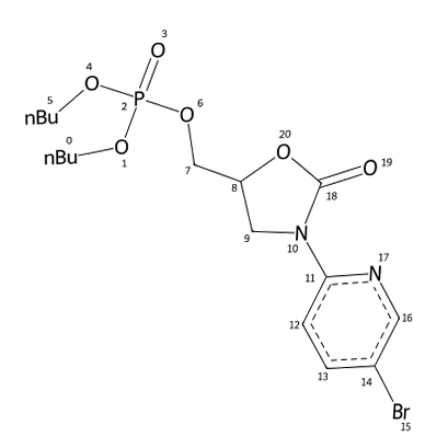 CCCCOP(=O)(OCCCC)OCC1CN(c2ccc(Br)cn2)C(=O)O1